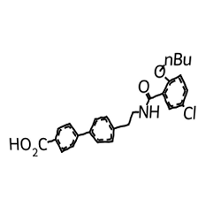 CCCCOc1ccc(Cl)cc1C(=O)NCCc1ccc(-c2ccc(C(=O)O)cc2)cc1